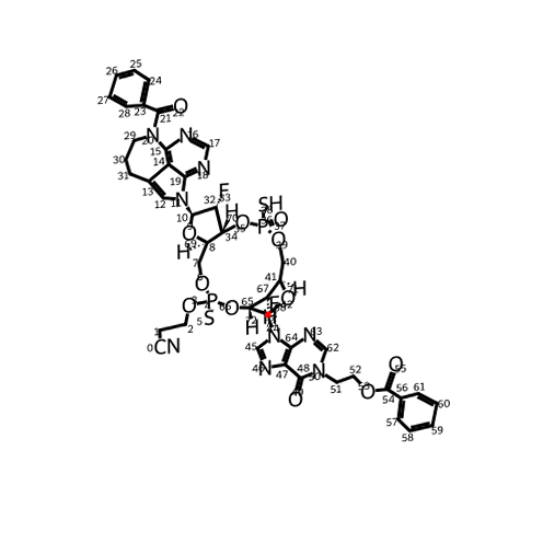 N#CCCOP1(=S)OC[C@H]2O[C@@H](n3cc4c5c(ncnc53)N(C(=O)c3ccccc3)CCC4)[C@H](F)[C@@H]2OP(=O)(S)OC[C@H]2O[C@@H](n3cnc4c(=O)n(CCOC(=O)c5ccccc5)cnc43)[C@H](O1)[C@@H]2F